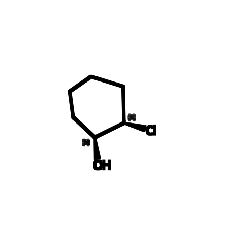 O[C@H]1CCCC[C@H]1Cl